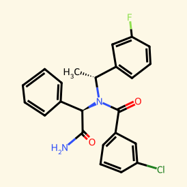 C[C@H](c1cccc(F)c1)N(C(=O)c1cccc(Cl)c1)[C@@H](C(N)=O)c1ccccc1